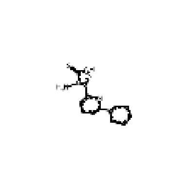 Nn1c(-c2cccc(-c3ccccc3)n2)n[nH]c1=S